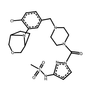 CS(=O)(=O)Nc1ccn(C(=O)N2CCN(Cc3ccc(Cl)c(N4C5CCC4COC5)c3)CC2)n1